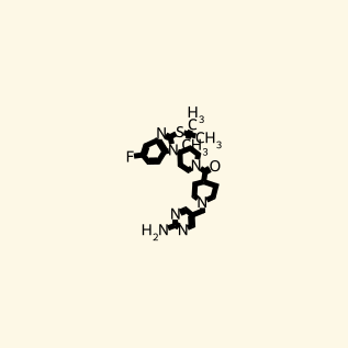 CC(C)(C)Sc1nc2cc(F)ccc2n1C1CCN(C(=O)C2CCN(Cc3cnc(N)nc3)CC2)CC1